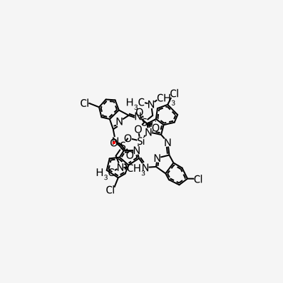 CN(C)CS(=O)(=O)O[Si]1(OS(=O)(=O)CN(C)C)n2c3c4cc(Cl)ccc4c2/N=C2N=C(/N=c4/c5cc(Cl)ccc5/c(n41)=N/C1=NC(=N\3)/c3ccc(Cl)cc31)c1ccc(Cl)cc1\2